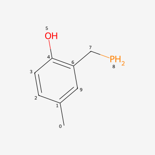 Cc1ccc(O)c(CP)c1